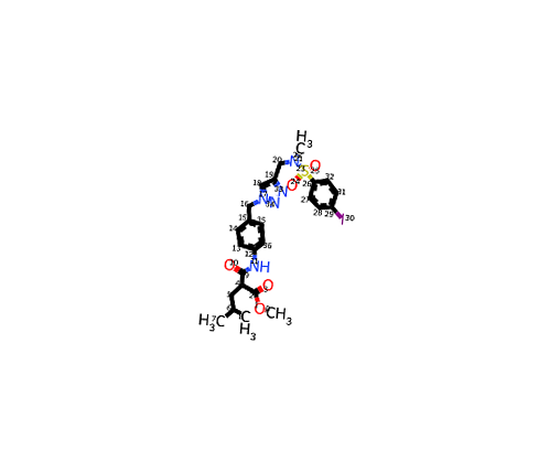 COC(=O)C(CC(C)C)C(=O)Nc1ccc(Cn2cc(CN(C)S(=O)(=O)c3ccc(I)cc3)nn2)cc1